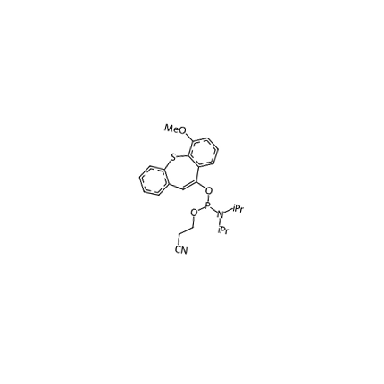 COc1cccc2c1Sc1ccccc1C=C2OP(OCCC#N)N(C(C)C)C(C)C